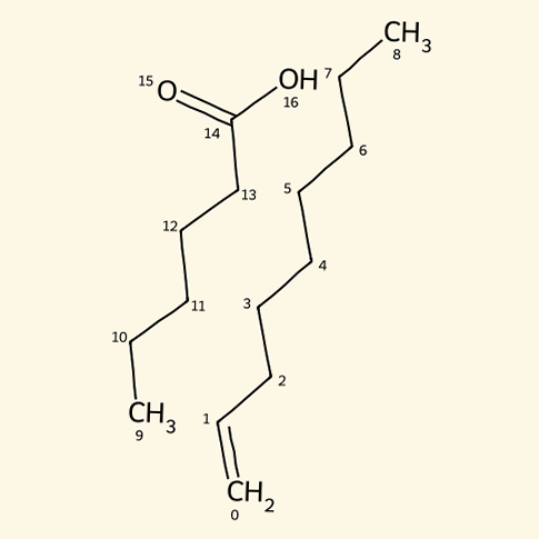 C=CCCCCCCC.CCCCCC(=O)O